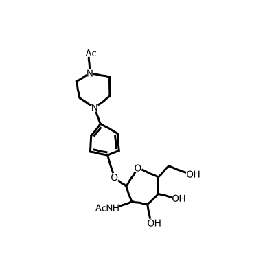 CC(=O)NC1C(Oc2ccc(N3CCN(C(C)=O)CC3)cc2)OC(CO)C(O)C1O